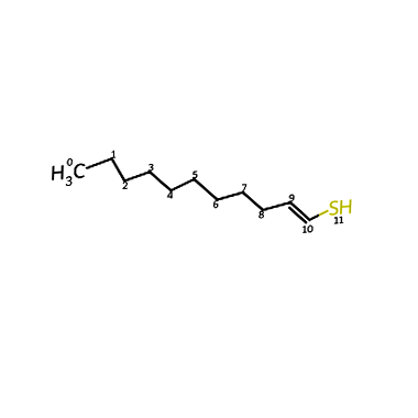 CCCCCCCCCC=CS